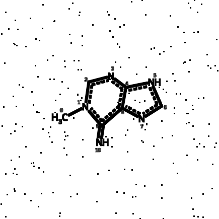 Cn1cnc2[nH]cnc2c1=N